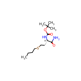 CCCCSCC[C@H](NC(=O)OC(C)(C)C)C(N)=O